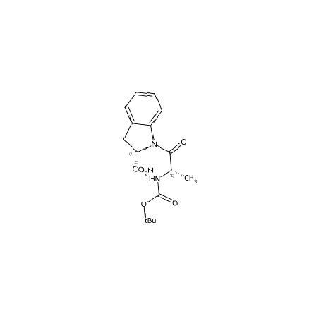 C[C@H](NC(=O)OC(C)(C)C)C(=O)N1c2ccccc2C[C@H]1C(=O)O